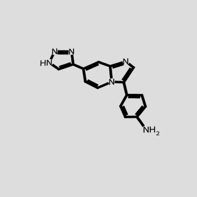 Nc1ccc(-c2cnc3cc(-c4c[nH]nn4)ccn23)cc1